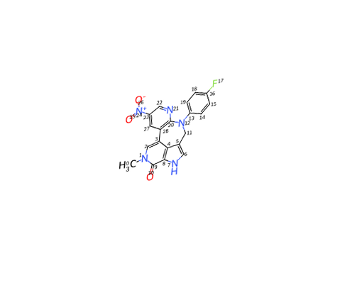 Cn1cc2c3c(c[nH]c3c1=O)CN(c1ccc(F)cc1)c1ncc([N+](=O)[O-])cc1-2